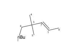 CC=CC(C)(C)CCCCC